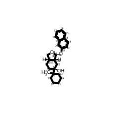 CC1([C@]2(O)CC[C@@H]3CO[C@H](Oc4ccc5ccccc5c4)[C@@H]3C2)CCCCC1